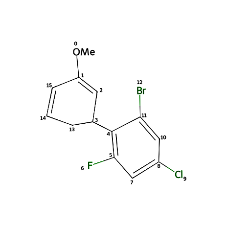 COC1=CC(c2c(F)cc(Cl)cc2Br)CC=C1